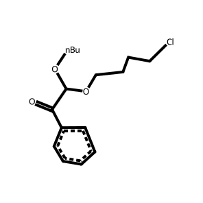 CCCCOC(OCCCCCl)C(=O)c1ccccc1